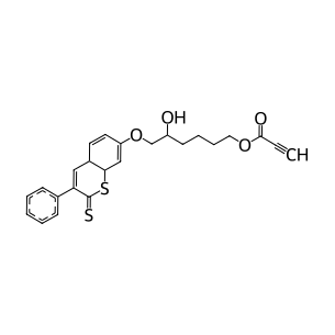 C#CC(=O)OCCCCC(O)COC1=CC2SC(=S)C(c3ccccc3)=CC2C=C1